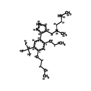 CCOc1cc(OCCOC)c(C(F)(F)F)cc1-c1n[nH]cc1CN(C)CCNC